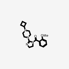 COc1ccccc1C(=O)N1CCN=C1N1CCN(C2CCC2)CC1